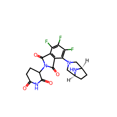 O=C1CCC(N2C(=O)c3c(F)c(F)c(F)c(N4C[C@H]5CC[C@@H](C4)N5)c3C2=O)C(=O)N1